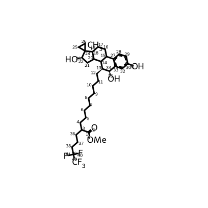 COC(=O)C(CCCCCCCCC[C@H]1C2C(CC[C@@]3(C)C2C[C@@H](O)C32CC2)c2ccc(O)cc2[C@H]1O)CCCC(F)(F)C(F)(F)F